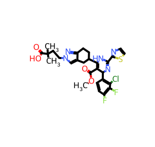 COC(=O)C1=C(C2CCc3nn(CCC(C)(C)C(=O)O)cc3C2)NC(c2nccs2)=NC1c1ccc(F)c(F)c1Cl